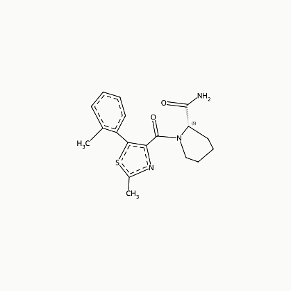 Cc1nc(C(=O)N2CCCC[C@H]2C(N)=O)c(-c2ccccc2C)s1